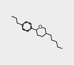 CCCCCC1CCC(c2ccc(CCC)cc2)OC1